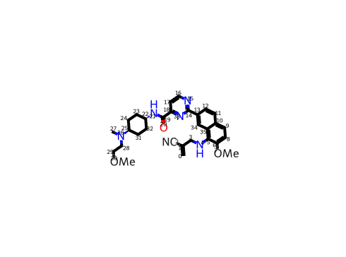 C=C(C#N)CNc1c(OC)ccc2ccc(-c3nccc(C(=O)N[C@H]4CC[C@H](N(C)CCOC)CC4)n3)cc12